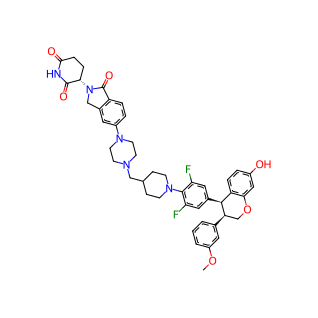 COc1cccc([C@@H]2COc3cc(O)ccc3[C@@H]2c2cc(F)c(N3CCC(CN4CCN(c5ccc6c(c5)CN([C@H]5CCC(=O)NC5=O)C6=O)CC4)CC3)c(F)c2)c1